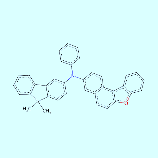 CC1(C)c2ccccc2-c2cc(N(c3ccccc3)c3ccc4c(ccc5oc6ccccc6c54)c3)ccc21